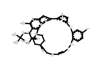 Cc1nc2cc3nn2c(c1[C@H](OC(C)(C)C)C(=O)O)N1CCC(C)(CC/C=C\CCc2ccc(F)cc2Cc2cnc-3s2)CC1